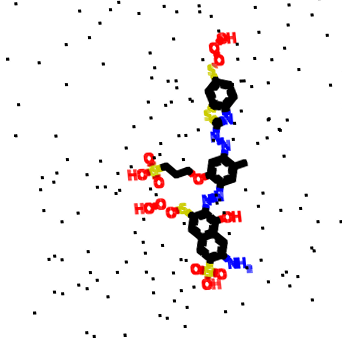 Cc1cc(N=Nc2c(SOOO)cc3cc(S(=O)(=O)O)c(N)cc3c2O)c(OCCCS(=O)(=O)O)cc1N=Nc1nc2ccc(SOOO)cc2s1